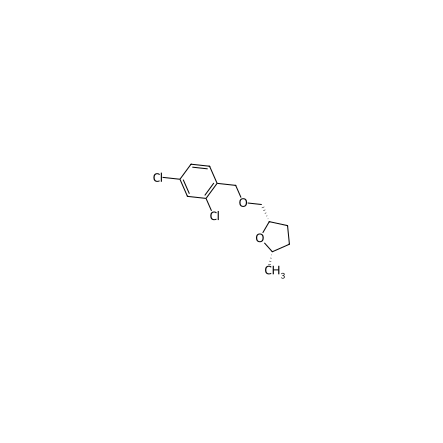 C[C@H]1CC[C@@H](COCc2ccc(Cl)cc2Cl)O1